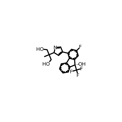 CC(CO)(CO)C1C=C(c2cc(F)cc3c2-c2ccccc2[C@]3(O)C(F)(F)F)C=N1